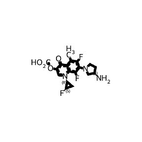 Cc1c(F)c(N2CC[C@H](N)C2)c(F)c2c1c(=O)c(OC(=O)O)cn2[C@@H]1C[C@@H]1F